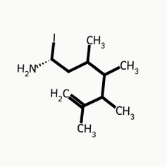 C=C(C)C(C)C(C)C(C)C[C@H](N)I